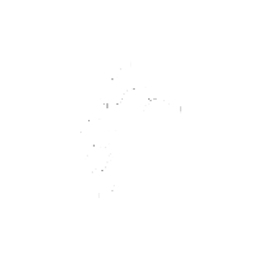 COC(=O)OC1CN(C2CCc3ccc(OC)cc3C2)CCC1O